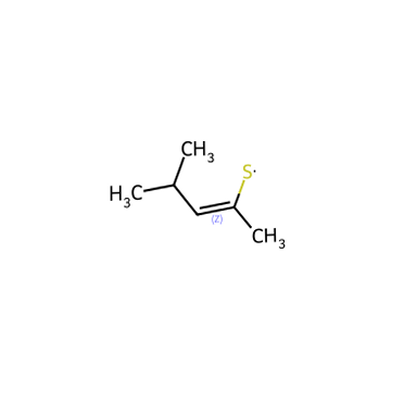 C/C([S])=C/C(C)C